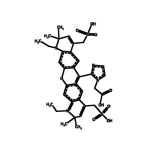 CCN1c2cc3c(cc2C(CS(=O)(=O)O)=CC1(C)C)C(c1nccn1CC(=O)O)=c1cc2c(cc1O3)=[N+](CC)C(C)(C)C=C2CS(=O)(=O)O